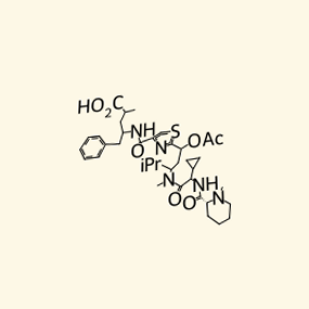 CC(=O)OC(CC(C(C)C)N(C)C(=O)C(NC(=O)[C@H]1CCCCN1C)C1CC1)c1nc(C(=O)NC(Cc2ccccc2)CC(C)C(=O)O)cs1